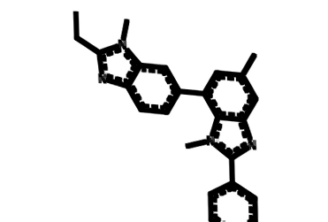 CCc1nc2ccc(-c3cc(C)cc4nc(-c5ccccc5)n(C)c34)cc2n1C